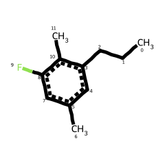 CCCc1cc(C)cc(F)c1C